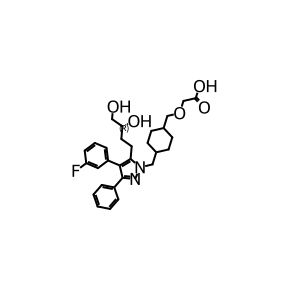 O=C(O)COCC1CCC(Cn2nc(-c3ccccc3)c(-c3cccc(F)c3)c2CC[C@@H](O)CO)CC1